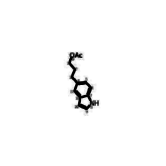 CC(=O)OCCCc1ccc2[nH]ccc2c1